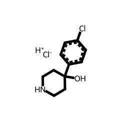 OC1(c2ccc(Cl)cc2)CCNCC1.[Cl-].[H+]